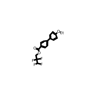 CCOc1ccc(-c2ccc(C(=O)OCC(F)(F)C(F)F)cc2)cc1